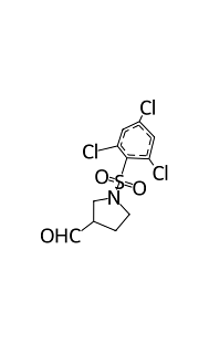 O=CC1CCN(S(=O)(=O)c2c(Cl)cc(Cl)cc2Cl)C1